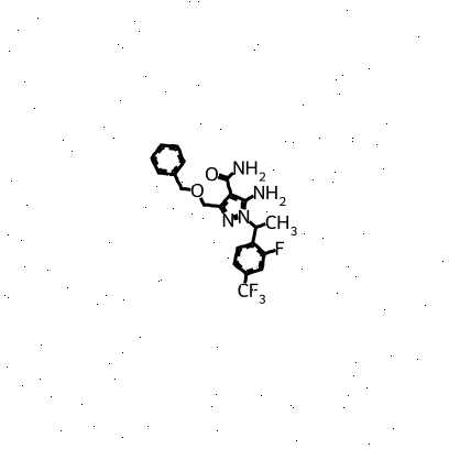 CC(c1ccc(C(F)(F)F)cc1F)n1nc(COCc2ccccc2)c(C(N)=O)c1N